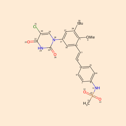 COc1c(/C=C/c2ccc(NS(C)(=O)=O)cc2)cc(-n2cc(Cl)c(=O)[nH]c2=O)cc1C(C)(C)C